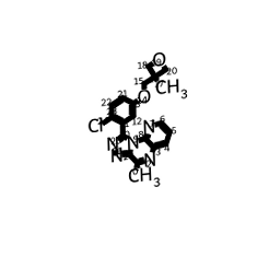 Cc1nc2cccnc2n2c(-c3cc(OCC4(C)COC4)ccc3Cl)nnc12